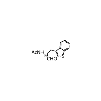 CC(=O)N[C@@H](C=O)Cc1csc2ccccc12